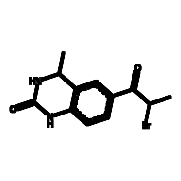 CC(Br)C(=O)c1ccc2c(c1)C(C)NC(=O)N2